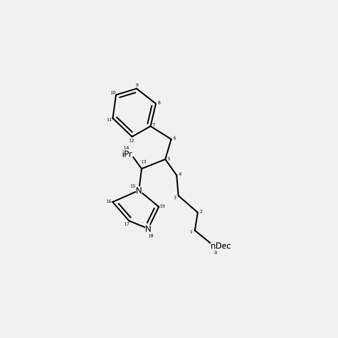 CCCCCCCCCCCCCCC(Cc1ccccc1)C(C(C)C)n1ccnc1